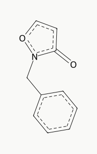 O=c1ccon1Cc1ccccc1